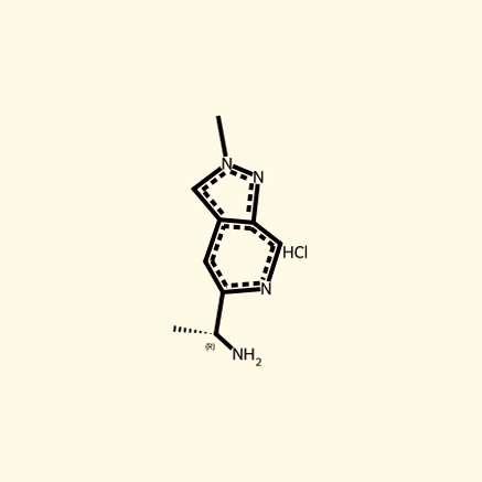 C[C@@H](N)c1cc2cn(C)nc2cn1.Cl